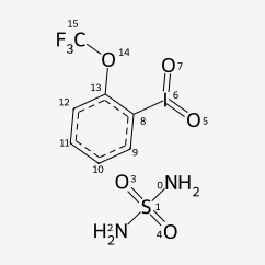 NS(N)(=O)=O.O=I(=O)c1ccccc1OC(F)(F)F